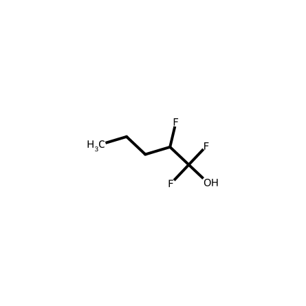 CCCC(F)C(O)(F)F